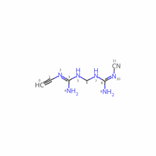 C#C/N=C(\N)NCN/C(N)=N\C#N